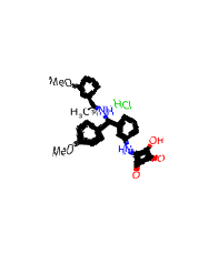 COc1ccc(C(N[C@H](C)c2cccc(OC)c2)c2cccc(Nc3c(O)c(=O)c3=O)c2)cc1.Cl